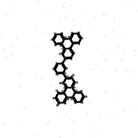 c1cc(-c2ccc3c4ccccc4c4ccccc4c3c2)cc(-c2ncc3c4ccccc4c4cncnc4c3n2)c1